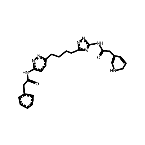 O=C(Cc1ccccc1)Nc1ccc(CCCCc2nnc(NC(=O)CC3=CNCC=C3)s2)nn1